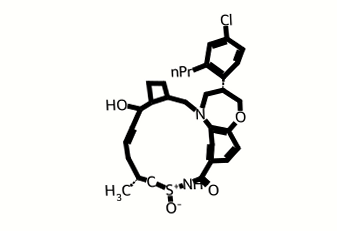 CCCc1cc(Cl)ccc1[C@@H]1COc2ccc3cc2N(CC2CCC2C(O)/C=C/C[C@@H](C)C[S+]([O-])NC3=O)C1